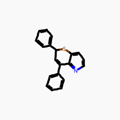 C1=C(c2ccccc2)c2ncccc2SC1c1ccccc1